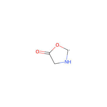 O=C1CN[CH]O1